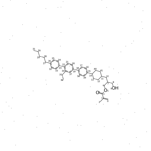 C=C(C)C(=O)OCC(CO)CC1CCC(c2ccc(-c3ccc(-c4ccc(CCCCC)cc4)c(CC)c3)cc2)CC1